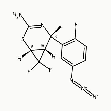 C[C@]1(c2cc(N=[N+]=[N-])ccc2F)N=C(N)S[C@@H]2[C@H]1C2(F)F